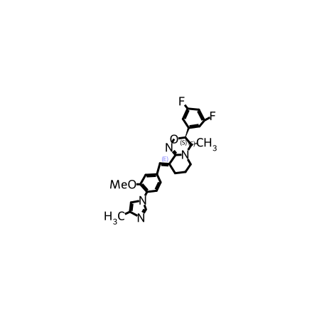 COc1cc(/C=C2\CCCN3C2=NO[C@@H](c2cc(F)cc(F)c2)[C@@H]3C)ccc1-n1cnc(C)c1